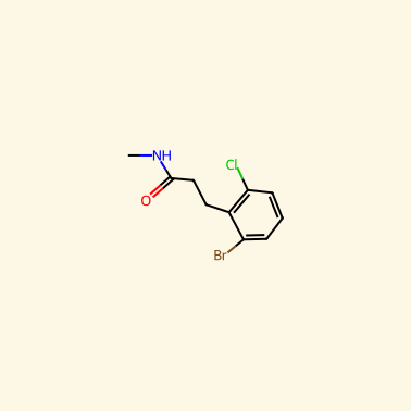 CNC(=O)CCc1c(Cl)cccc1Br